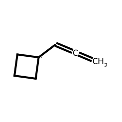 C=C=C[C]1CCC1